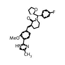 COc1cc(C=C2CCCN([C@H](c3ccc(F)cc3)[C@@H]3CCCO3)C2=O)ccc1-c1nc(C)c[nH]1